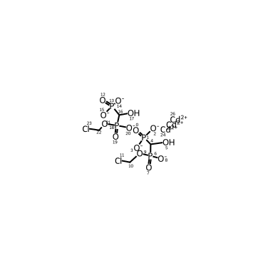 O=P([O-])([O-])C(O)P(=O)([O-])OCCl.O=P([O-])([O-])C(O)P(=O)([O-])OCCl.[Cd+2].[Cd+2].[Cd+2]